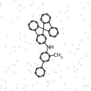 Cc1cc(-c2ccccc2)ccc1Nc1ccc2c(c1)C1(c3ccccc3-c3ccccc31)c1ccccc1-2